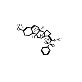 [C-]#[N+]/C(=C1\CC[C@H]2[C@@H]3CC=C4C=C(OC)CC[C@]4(C)[C@H]3CC[C@]12C)S(=O)(=O)c1ccccc1